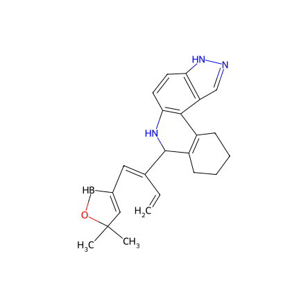 C=C/C(=C\C1=CC(C)(C)OB1)C1Nc2ccc3[nH]ncc3c2C2=C1CCCC2